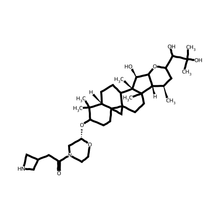 C[C@@H]1CC(C(O)C(C)(C)O)OC2[C@H]1C1(C)CCC34CC35CCC(O[C@H]3CN(C(=O)CC6CNC6)CCO3)C(C)(C)[C@@H]5CCC4[C@]1(C)[C@H]2O